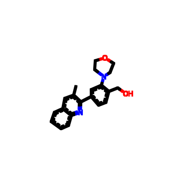 Cc1cc2ccccc2nc1-c1ccc(CO)c(N2CCOCC2)c1